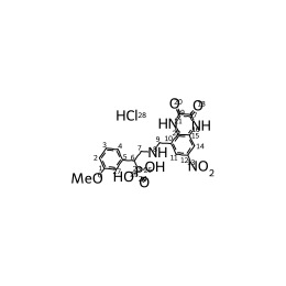 COc1cccc(C(CNCc2cc([N+](=O)[O-])cc3[nH]c(=O)c(=O)[nH]c23)P(=O)(O)O)c1.Cl